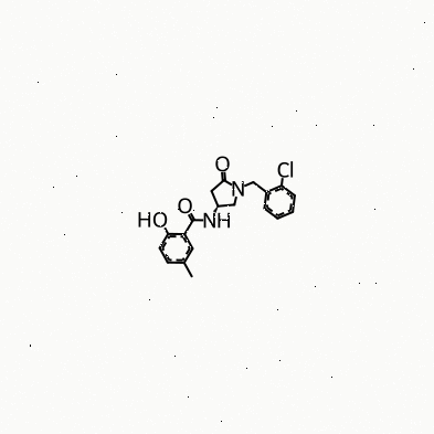 Cc1ccc(O)c(C(=O)N[C@H]2CC(=O)N(Cc3ccccc3Cl)C2)c1